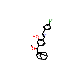 COC(=C1C2CC3CC(C2)CC1C3)c1ccc(/C=C/c2ccc(Br)cc2)c(O)c1